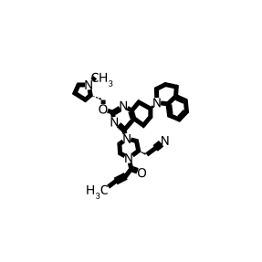 CC#CC(=O)N1CCN(c2nc(OC[C@@H]3CCCN3C)nc3c2CC[C@H](N2CCCc4ccccc42)C3)C[C@@H]1CC#N